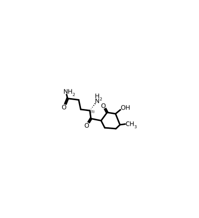 CC1CCC(C(=O)[C@@H](N)CCC(N)=O)C(=O)C1O